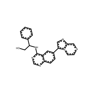 OCC(Nc1ncnc2ccc(-c3cnc4cnccn34)cc12)c1ccccc1